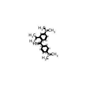 CC(C)c1cc(N(C)C)ccc1C(=N)c1ccc(N(C)C)cc1